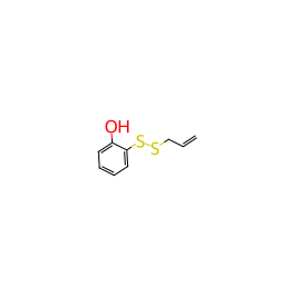 C=CCSSc1ccccc1O